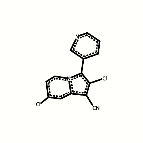 N#Cc1c(Cl)c(-c2cccnc2)n2ccc(Cl)cc12